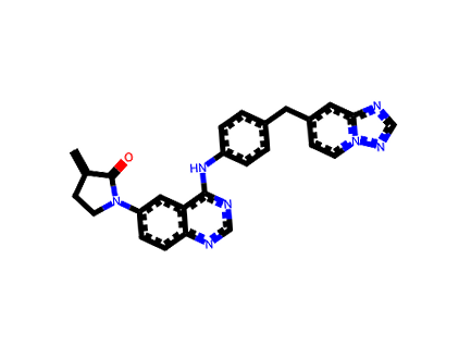 C=C1CCN(c2ccc3ncnc(Nc4ccc(Cc5ccn6ncnc6c5)cc4)c3c2)C1=O